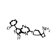 N[C@H]1CCC12CCN(c1cnc3c(-c4ccccc4Cl)n[nH]c3n1)CC2